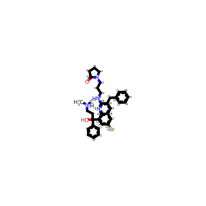 CN(C)CCC(O)(c1ccccc1)c1cc(Br)cc2cc(Cc3ccccc3)c(NCCCN3CCCC3=O)nc12